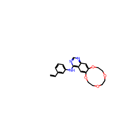 C=Cc1cccc(Nc2ncnc3cc4c(cc23)OCCOCCOCCO4)c1